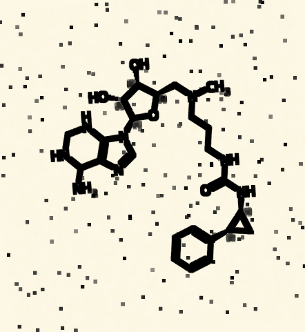 CN(CCCNC(=O)N[C@H]1C[C@H]1c1ccccc1)C[C@H]1O[C@@H](n2cnc3c2NCNC3N)[C@H](O)[C@@H]1O